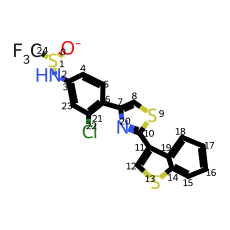 [O-][S+](Nc1ccc(-c2csc(-c3csc4ccccc34)n2)c(Cl)c1)C(F)(F)F